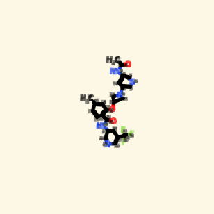 CC(=O)Nc1cncc(N2CC(Oc3cc(C)ccc3C(=O)Nc3cncc(C(F)(F)F)c3)C2)c1